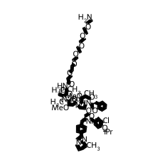 CC[C@H](C)[C@@H]([C@@H](CC(=O)N1CCC[C@H]1[C@H](OC)[C@@H](C)C(=O)N[C@@H](Cc1ccccc1)C(=O)OCC[C@H](Cc1ccc(-c2cn3cccc(C)c3n2)cc1)NC(=O)c1ccc(OC(C)C)c(Cl)c1)OC)N(C)C(CC(C)C)C(=O)C(C)(C)NC(=O)CCOCCOCCOCCOCCOCCOCCN